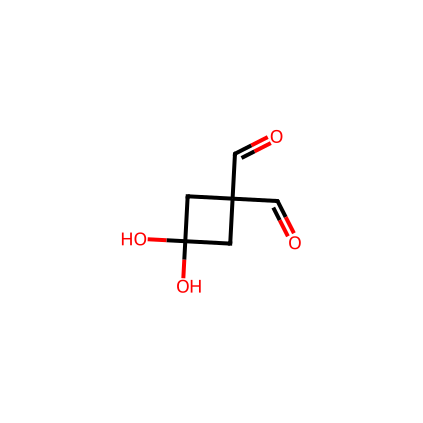 O=CC1(C=O)CC(O)(O)C1